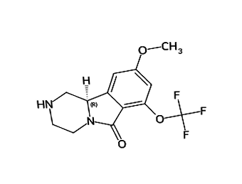 COc1cc(OC(F)(F)F)c2c(c1)[C@@H]1CNCCN1C2=O